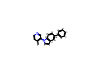 Cc1ccncc1-n1ccc2cc(-c3ccccc3)ccc21